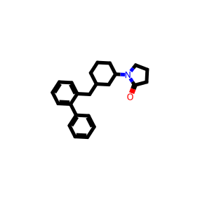 O=C1CCCN1C1CCCC(Cc2ccccc2-c2ccccc2)C1